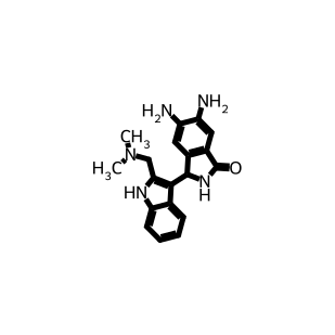 CN(C)Cc1[nH]c2ccccc2c1C1NC(=O)c2cc(N)c(N)cc21